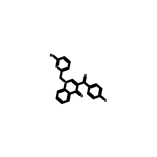 O=C(c1ccc(Cl)cc1)c1cn(Cc2cccc(Br)n2)c2ccccc2c1=O